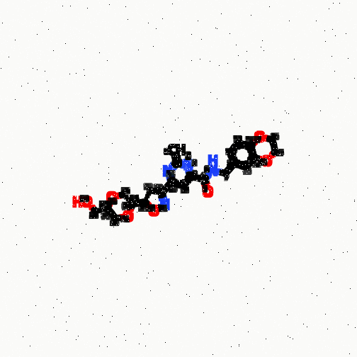 Cc1nc(C(=O)NCc2ccc3c(c2)OCCO3)cc(C2=NO[C@H]([C@H]3CO[C@H](CO)CO3)C2)n1